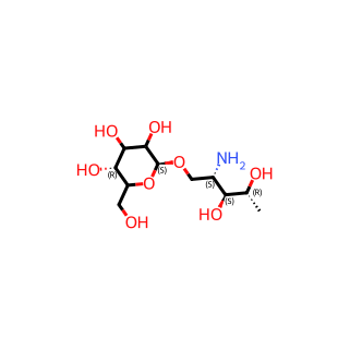 C[C@@H](O)[C@@H](O)[C@@H](N)CO[C@H]1OC(CO)[C@H](O)C(O)C1O